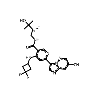 CC(C)(O)[C@H](F)CNC(=O)c1cnc(-c2cnc3cc(C#N)cnn23)cc1NC1CC(F)(F)C1